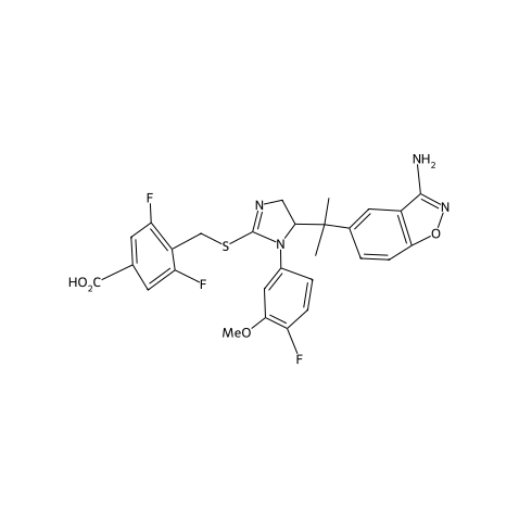 COc1cc(N2C(SCc3c(F)cc(C(=O)O)cc3F)=NCC2C(C)(C)c2ccc3onc(N)c3c2)ccc1F